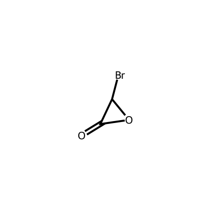 O=C1OC1Br